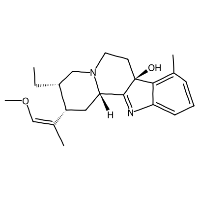 CC[C@@H]1CN2CC[C@@]3(O)C(=Nc4cccc(C)c43)[C@@H]2C[C@@H]1/C(C)=C\OC